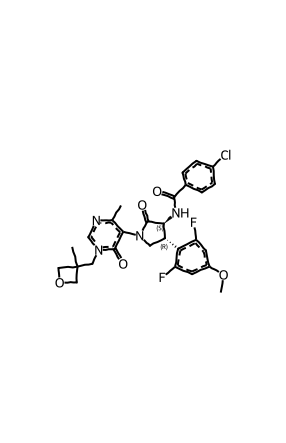 COc1cc(F)c([C@@H]2CN(c3c(C)ncn(CC4(C)COC4)c3=O)C(=O)[C@H]2NC(=O)c2ccc(Cl)cc2)c(F)c1